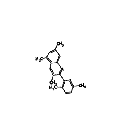 Cc1ccc(C)c(-c2nc3cc(C)cc(C)c3cc2C)c1